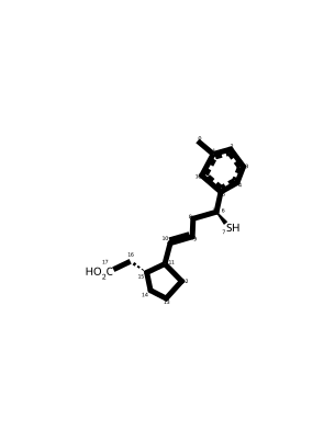 Cc1cccc([C@@H](S)C/C=C/C2CCC[C@@H]2CC(=O)O)c1